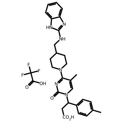 Cc1ccc(C(CC(=O)O)n2cc(C)c(N3CCC(CNc4nc5ccccc5[nH]4)CC3)nc2=O)cc1.O=C(O)C(F)(F)F